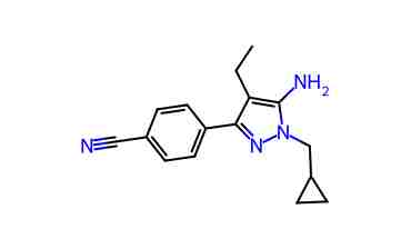 CCc1c(-c2ccc(C#N)cc2)nn(CC2CC2)c1N